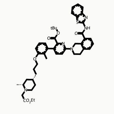 CCOC(=O)CN1CC[C@@H](CCCOc2cccc(-c3ccc(N4CCc5cccc(C(=O)Nc6nc7ccccc7s6)c5C4)nc3C(=O)OC(C)(C)C)c2C)C[C@H]1C